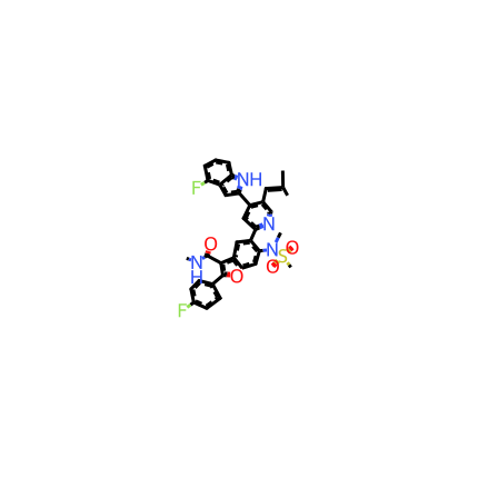 CNC(=O)c1c(-c2ccc(F)cc2)oc2cc(N(C)S(C)(=O)=O)c(-c3cc(-c4cc5c(F)cccc5[nH]4)c(C=C(C)C)cn3)cc12